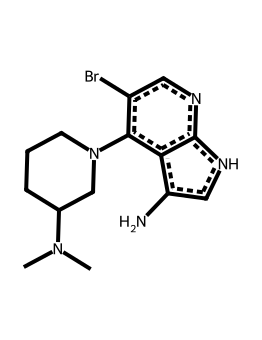 CN(C)C1CCCN(c2c(Br)cnc3[nH]cc(N)c23)C1